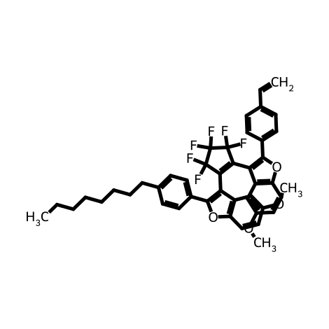 C=Cc1ccc(-c2oc3ccc(OC)cc3c2C2=C(c3c(-c4ccc(CCCCCCCC)cc4)oc4ccc(OC)cc34)C(F)(F)C(F)(F)C2(F)F)cc1